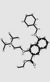 CCOC(=O)c1cc2cccc(OCC3CCCCC3)c2cc1OCCN(C(C)C)C(C)C